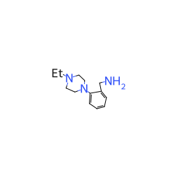 CCN1CCN(c2ccccc2CN)CC1